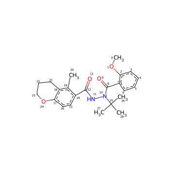 COc1ccccc1C(=O)N(NC(=O)c1ccc2c(c1C)CCCO2)C(C)(C)C